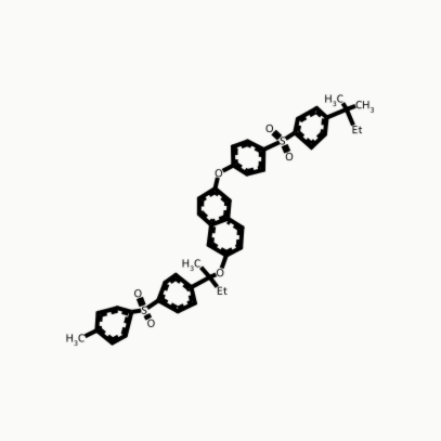 CCC(C)(C)c1ccc(S(=O)(=O)c2ccc(Oc3ccc4cc(OC(C)(CC)c5ccc(S(=O)(=O)c6ccc(C)cc6)cc5)ccc4c3)cc2)cc1